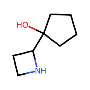 OC1(C2CCN2)CCCC1